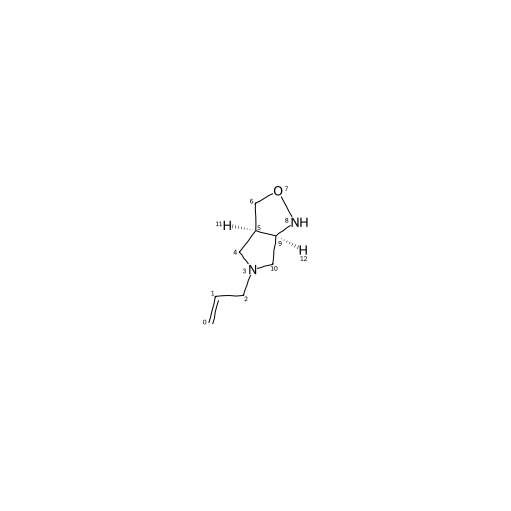 C=CCN1C[C@H]2CON[C@H]2C1